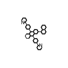 C1=c2c(-c3ccc(-c4ccccn4)cc3)c3ccc(-c4cccc5ccccc45)cc3c(-c3ccc(-c4ccccn4)cc3)c2=CCC1